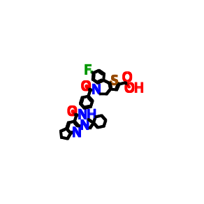 O=C(O)c1cc2c(s1)-c1ccc(F)cc1N(C(=O)c1ccc(NC(=O)c3cc4c(nc3N3CC5(CCCCC5)C3)CCC4)cc1)CC2